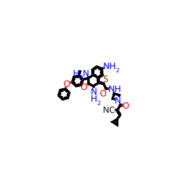 Cc1cc(Oc2ccccc2)ccc1C1(N)C(=O)C(N)c2c(C(=O)NC3CN(C(=O)/C(C#N)=C/C4CC4)C3)sc3c(N)ccc1c23